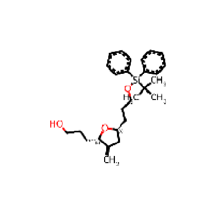 C=C1C[C@H](CCCO[Si](c2ccccc2)(c2ccccc2)C(C)(C)C)O[C@H]1CCCO